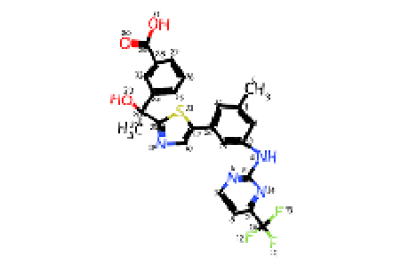 Cc1cc(Nc2nccc(C(F)(F)F)n2)cc(-c2cnc([C@@](C)(O)c3cccc(C(=O)O)c3)s2)c1